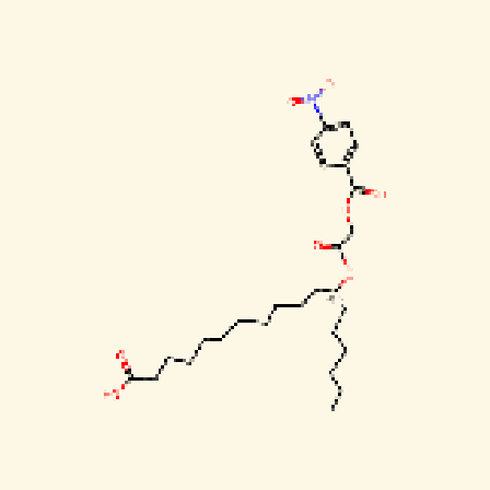 CCCCCC[C@H](CCCCCCCCCCC(=O)O)OC(=O)COC(=O)c1ccc([N+](=O)[O-])cc1